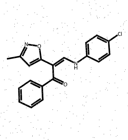 Cc1cc(C(=CNc2ccc(Cl)cc2)C(=O)c2ccccc2)on1